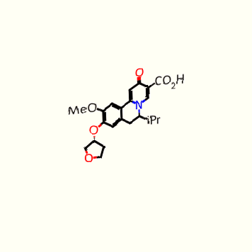 COc1cc2c(cc1O[C@@H]1CCOC1)CC(C(C)C)n1cc(C(=O)O)c(=O)cc1-2